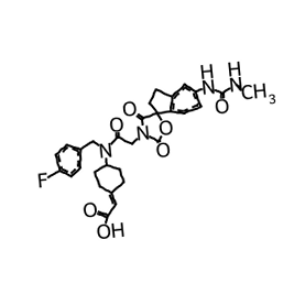 CNC(=O)Nc1ccc2c(c1)CCC21OC(=O)N(CC(=O)N(Cc2ccc(F)cc2)C2CCC(=CC(=O)O)CC2)C1=O